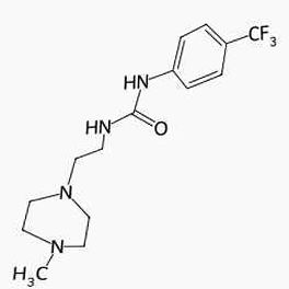 CN1CCN(CCNC(=O)Nc2ccc(C(F)(F)F)cc2)CC1